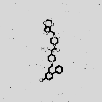 N[C@@H](C(=O)N1CCN(Cc2scc3c2OCCO3)CC1)C1CCN(CCc2cc(Cl)ccc2-c2ccccc2)CC1